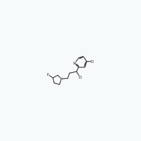 FC1CCN(CCC(Cl)c2cc(Cl)ccn2)C1